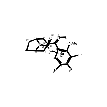 C/N=C(\c1cc(F)c(Br)c(F)c1NC)N1CC2CCC(C1)N2C(=O)OC(C)(C)C